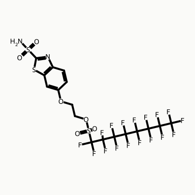 NS(=O)(=O)c1nc2ccc(OCCOS(=O)(=O)C(F)(F)C(F)(F)C(F)(F)C(F)(F)C(F)(F)C(F)(F)C(F)(F)C(F)(F)F)cc2s1